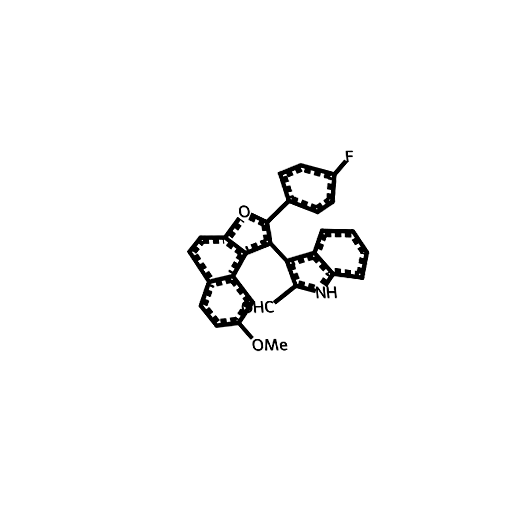 COc1ccc2ccc3oc(-c4ccc(F)cc4)c(-c4c(C=O)[nH]c5ccccc45)c3c2c1